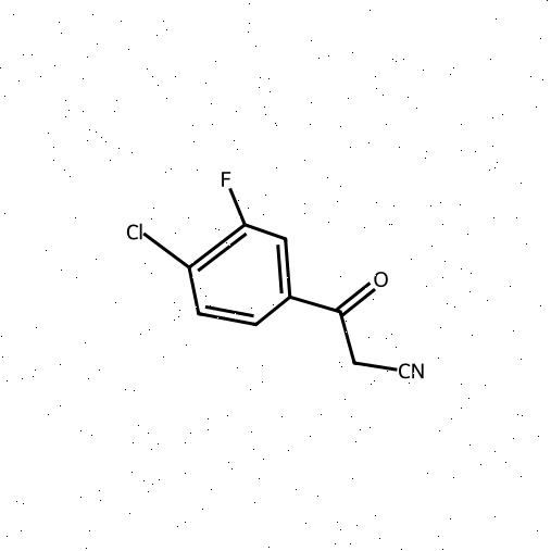 N#CCC(=O)c1ccc(Cl)c(F)c1